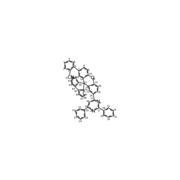 N#Cc1ccccc1-c1ccc2c(c1)C1(c3cc(-c4cc(-c5ccccc5)nc(-c5ccccc5)n4)ccc3O2)c2ccccc2-c2ccccc21